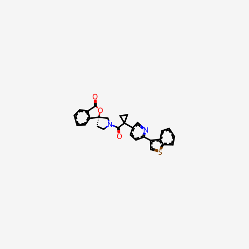 O=C1O[C@]2(CCN(C(=O)C3(c4ccc(-c5csc6ccccc56)nc4)CC3)C2)c2ccccc21